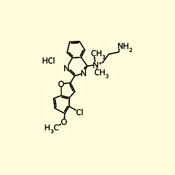 COc1ccc2oc(-c3nc([N+](C)(C)CCCN)c4ccccc4n3)cc2c1Cl.Cl